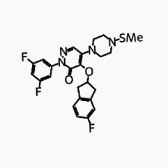 CSN1CCN(c2cnn(-c3cc(F)cc(F)c3)c(=O)c2OC2Cc3ccc(F)cc3C2)CC1